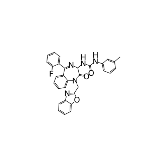 Cc1cccc(NC(=O)NC2N=C(c3ccccc3F)c3ccccc3N(Cc3nc4ccccc4o3)C2=O)c1